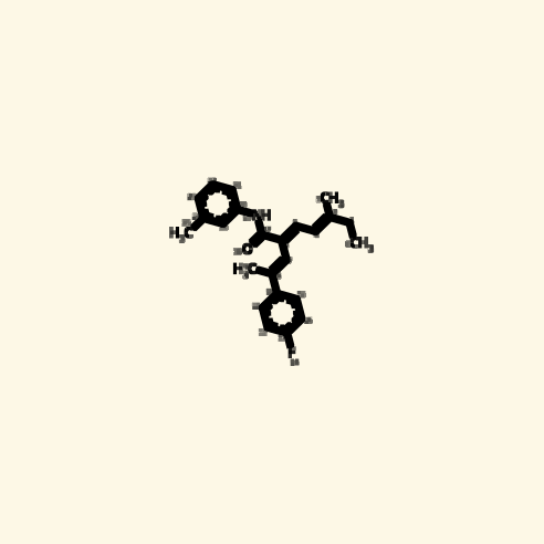 CC/C(C)=C/C=C(\C=C(/C)c1ccc(F)cc1)C(=O)Nc1cccc(C)c1